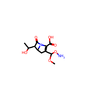 COC(ON)C1=C(C(=O)O)N2C(=O)C(C(C)O)C2C1